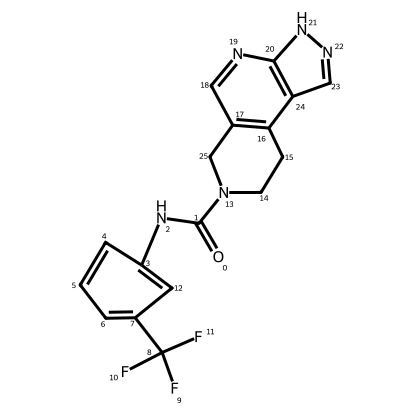 O=C(Nc1cccc(C(F)(F)F)c1)N1CCc2c(cnc3[nH]ncc23)C1